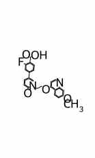 COc1ccc2c(OCCn3cc(-c4ccc(C(=O)O)c(F)c4)ccc3=O)ccnc2c1